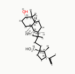 C=C(C)[C@@H]1CC[C@@](CCC(C)(C)[C@]2(C)CC[C@H]3C(C)(C)[C@@H](O)CC[C@]3(C)[C@H]2CCC)(C(=O)O)[C@H]1C